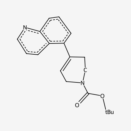 CC(C)(C)OC(=O)N1CC=C(c2cccc3ncccc23)CC1